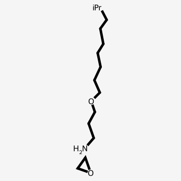 C1CO1.CC(C)CCCCCCCOCCCN